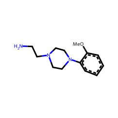 COc1ccccc1N1CCN(CCN)CC1